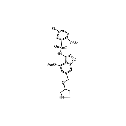 CCc1ccc(OC)c(S(=O)(=O)Nc2noc3cc(CO[C@H]4CCNC4)cc(OC)c23)c1